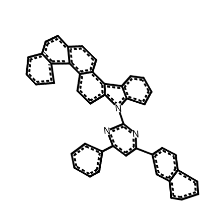 c1ccc(-c2cc(-c3ccc4ccccc4c3)nc(-n3c4ccccc4c4c5ccc6ccc7ccccc7c6c5ccc43)n2)cc1